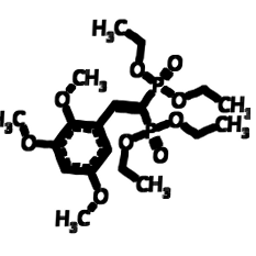 CCOP(=O)(OCC)C(=Cc1cc(OC)cc(OC)c1OC)P(=O)(OCC)OCC